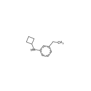 CCc1cccc(NC2CCC2)c1